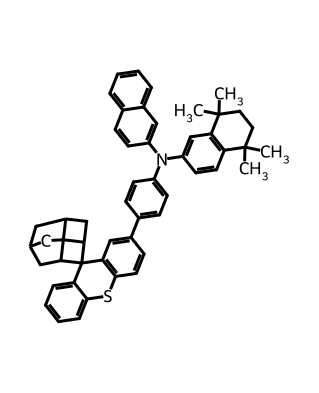 CC1(C)CCC(C)(C)c2cc(N(c3ccc(-c4ccc5c(c4)C4(c6ccccc6S5)C5CC6CC7CC4C75C6)cc3)c3ccc4ccccc4c3)ccc21